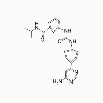 CC(C)NC(=O)c1cccc(NC(=O)Nc2ccc(-c3cc(N)ncn3)cc2)c1